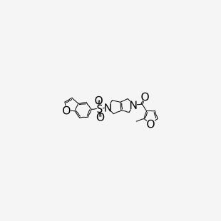 Cc1occc1C(=O)N1CC2=C(C1)CN(S(=O)(=O)c1ccc3occc3c1)C2